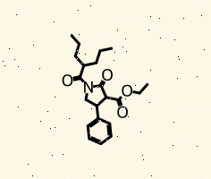 CCCC(CCC)C(=O)N1CC(c2ccccc2)C(C(=O)OCC)C1=O